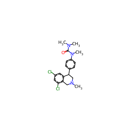 CN1Cc2c(Cl)cc(Cl)cc2C(c2ccc(N(C)C(=O)N(C)C)cc2)C1